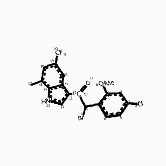 COc1cc(Cl)ccc1C(Br)[12C](=O)c1c[nH]c2c(C)cc(C(F)(F)F)cc12